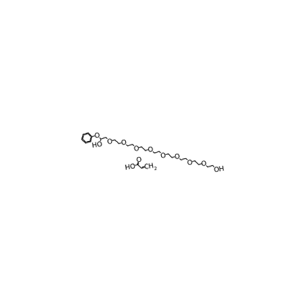 C=CC(=O)O.OCCOCCOCCOCCOCCOCCOCCOCCOCC(O)Oc1ccccc1